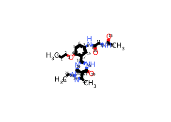 CCCOc1ccc(NC(=O)CNC(C)=O)cc1-c1nc2c(c(C)nn2CC)c(=O)[nH]1